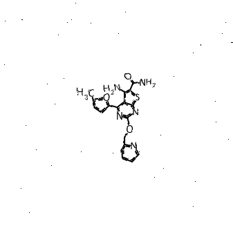 Cc1ccc(-c2nc(OCc3ccccn3)nc3sc(C(N)=O)c(N)c23)o1